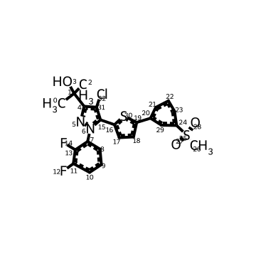 CC(C)(O)c1nn(-c2cccc(F)c2F)c(-c2ccc(-c3cccc(S(C)(=O)=O)c3)s2)c1Cl